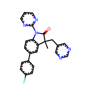 CC1(Cc2cncnc2)C(=O)N(c2ncccn2)c2ccc(-c3ccc(F)cc3)cc21